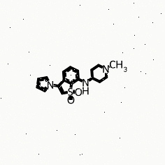 CN1CCC(Nc2cccc3c2S(=O)(=O)C=C3n2cccc2)CC1